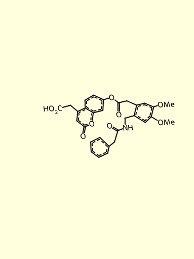 COc1cc(CNC(=O)Cc2ccccc2)c(CC(=O)Oc2ccc3c(CC(=O)O)cc(=O)oc3c2)cc1OC